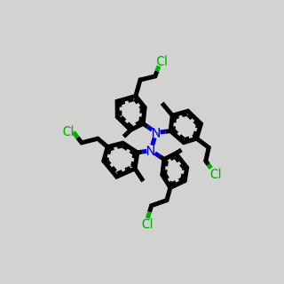 Cc1ccc(CCCl)cc1N(c1cc(CCCl)ccc1C)N(c1cc(CCCl)ccc1C)c1cc(CCCl)ccc1C